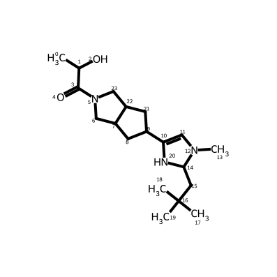 CC(O)C(=O)N1CC2CC(C3=CN(C)C(CC(C)(C)C)N3)CC2C1